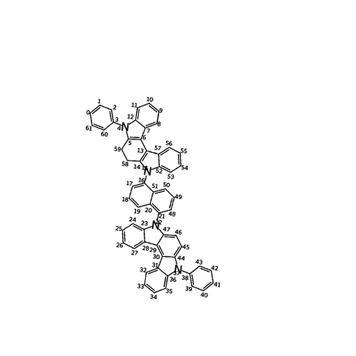 c1ccc(-n2c3c(c4ccccc42)-c2c(n(-c4cccc5c(-n6c7ccccc7c7c8c9ccccc9n(-c9ccccc9)c8ccc76)cccc45)c4ccccc24)CC3)cc1